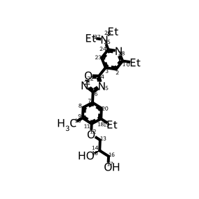 CCc1cc(-c2nc(-c3cc(C)c(OC[C@H](O)CO)c(CC)c3)no2)cc(N(CC)CC)n1